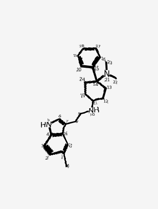 Cc1ccc2[nH]cc(CCNC3CCC(c4ccccc4)(N(C)C)CC3)c2c1